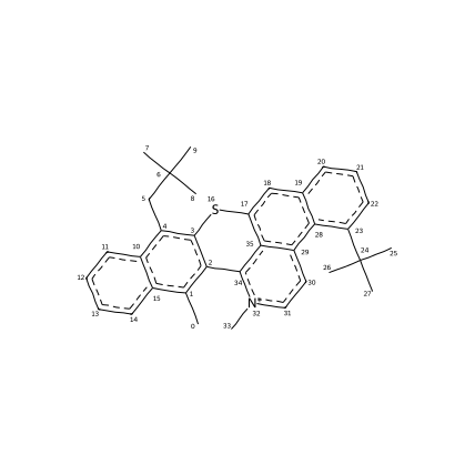 Cc1c2c(c(CC(C)(C)C)c3ccccc13)Sc1cc3cccc(C(C)(C)C)c3c3cc[n+](C)c-2c13